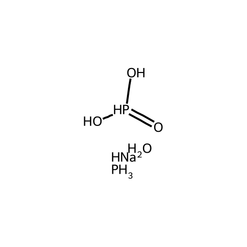 O.O=[PH](O)O.P.[NaH]